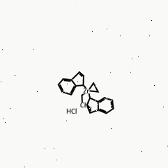 C[CH2][Zr]1([CH]2C=Cc3ccccc32)([CH]2C=Cc3ccccc32)[CH2][CH2]1.Cl